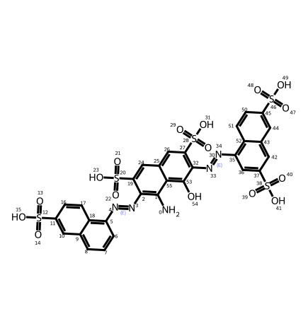 Nc1c(/N=N/c2cccc3cc(S(=O)(=O)O)ccc23)c(S(=O)(=O)O)cc2cc(S(=O)(=O)O)c(/N=N/c3cc(S(=O)(=O)O)cc4cc(S(=O)(=O)O)ccc34)c(O)c12